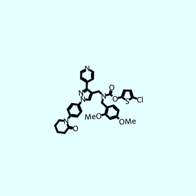 COc1ccc(CN(Cc2cn(-c3ccc(N4CCCCC4=O)cc3)nc2-c2ccncc2)C(=O)Oc2ccc(Cl)s2)c(OC)c1